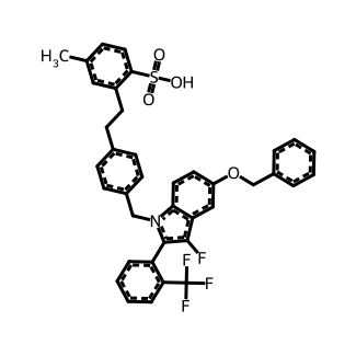 Cc1ccc(S(=O)(=O)O)c(CCc2ccc(Cn3c(-c4ccccc4C(F)(F)F)c(F)c4cc(OCc5ccccc5)ccc43)cc2)c1